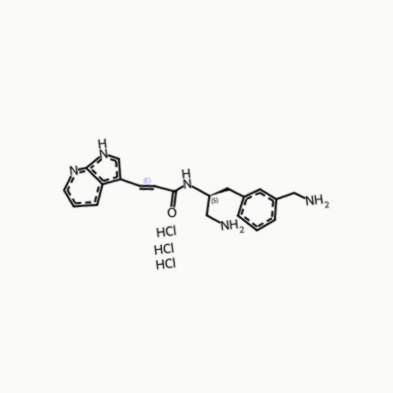 Cl.Cl.Cl.NCc1cccc(C[C@@H](CN)NC(=O)/C=C/c2c[nH]c3ncccc23)c1